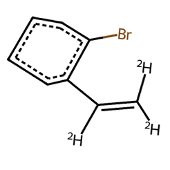 [2H]C([2H])=C([2H])c1ccccc1Br